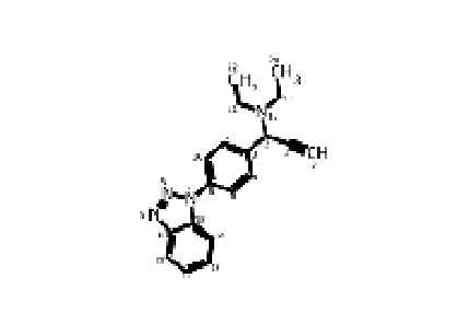 C#CC(c1ccc(-n2nnc3ccccc32)cc1)N(CC)CC